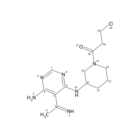 CC(=N)c1c(N)ncnc1NC1CCCN(C(=O)CCCl)C1